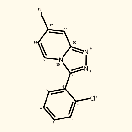 Clc1ccccc1-c1nnc2cc(I)ccn12